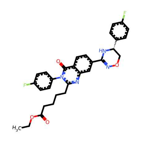 CCOC(=O)CCCCc1nc2cc(C3=NOC[C@@H](c4ccc(F)cc4)N3)ccc2c(=O)n1-c1ccc(F)cc1